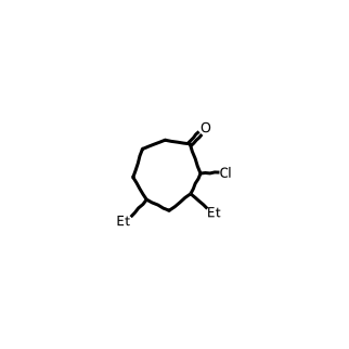 CCC1CCCC(=O)C(Cl)C(CC)C1